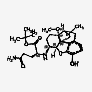 CO[C@@]12CC[C@H](N[C@@H](CCC(N)=O)C(=O)OC(C)(C)C)[C@@H]3Oc4c(O)ccc5c4[C@@]31CCN(C)[C@@H]2C5